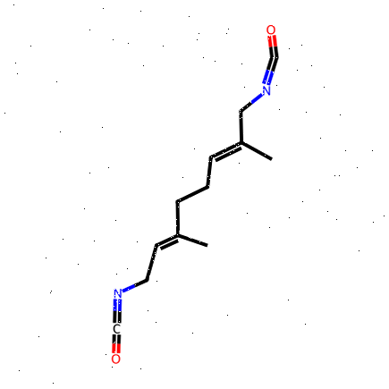 C/C(=C\CN=C=O)CC/C=C(\C)CN=C=O